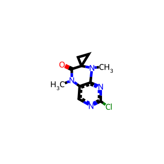 CN1C(=O)C2(CC2)N(C)c2nc(Cl)ncc21